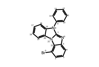 Brc1cccc2nc3n(-c4ccccc4)c4ccccc4n3c12